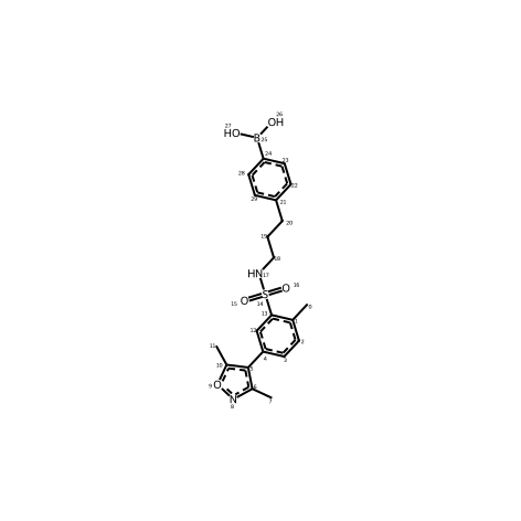 Cc1ccc(-c2c(C)noc2C)cc1S(=O)(=O)NCCCc1ccc(B(O)O)cc1